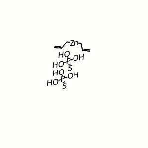 C=C[CH2][Zn][CH2]C=C.OP(O)(O)=S.OP(O)(O)=S